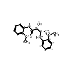 COc1ccccc1NC(=O)[C@H](O)[C@H](C)Nc1ccccc1OC